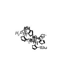 [CH3][GeH]([CH3])[Hf+]([C]1=C(C(C)(C)C)C=CC1)[C]1=C(C(C)(C)C)C=CC1.[CH3][GeH]([CH3])[Hf+]([C]1=C(C(C)(C)C)C=CC1)[C]1=C(C(C)(C)C)C=CC1.[Cl-].[Cl-]